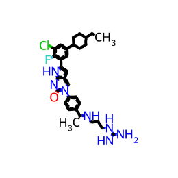 CCC1CCC(c2cc(Cl)c(F)c(-c3cc4cn(-c5ccc([C@H](C)NCCCNC(=N)N)cc5)c(=O)nc4[nH]3)c2)CC1